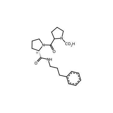 O=C(NCCCc1ccccc1)[C@@H]1CCCN1C(=O)C1CCCN1C(=O)O